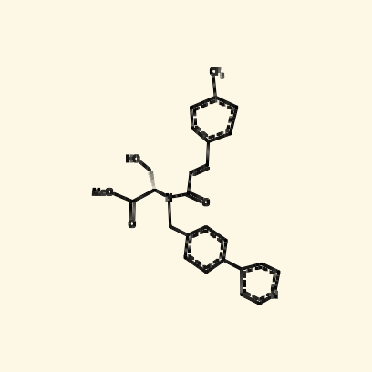 COC(=O)[C@H](CO)N(Cc1ccc(-c2ccncc2)cc1)C(=O)C=Cc1ccc(C(F)(F)F)cc1